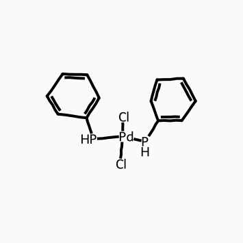 [Cl][Pd]([Cl])([PH]c1ccccc1)[PH]c1ccccc1